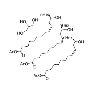 CCCCCC[C@@H](O)C/C=C\CCCCCCCC(=O)OC(C)=O.CCCCCC[C@@H](O)C/C=C\CCCCCCCC(=O)OC(C)=O.CCCCCC[C@@H](O)C/C=C\CCCCCCCC(=O)OC(C)=O.OCC(O)CO